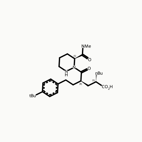 CCCC[C@@H](C[C@@H](CCc1ccc(C(C)(C)C)cc1)C(=O)N1NCCC[C@H]1C(=O)NC)C(=O)O